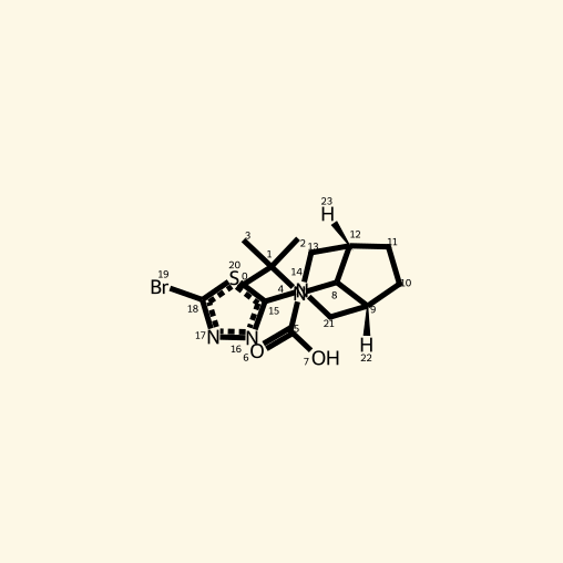 CC(C)(C)N(C(=O)O)C1[C@@H]2CC[C@H]1CN(c1nnc(Br)s1)C2